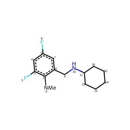 CNc1c(F)cc(F)cc1CNC1CCCCC1